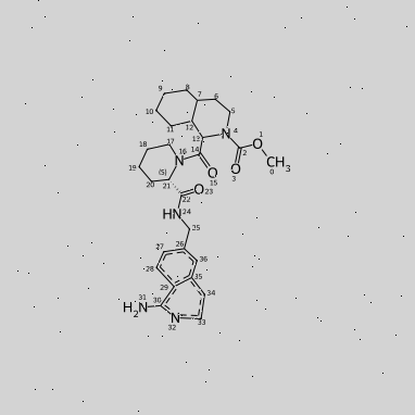 COC(=O)N1CCC2CCCCC2C1C(=O)N1CCCC[C@H]1C(=O)NCc1ccc2c(N)nccc2c1